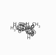 CCOC(=O)N1CCN(C(=O)C(CCC(=O)OC(C)(C)C)NC(=O)c2cc(OCC(=O)N3CCCC3C(=O)NC3CCC3)c3ccc(C)cc3n2)CC1